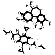 CCOC(=O)NC1=C(N2CC2)C(=O)C(NC(=O)OCC)=C(N2CC2)C1=O.CNC1CCc2cc(OC)c(OC)c(OC)c2-c2ccc(OC)c(=O)cc21